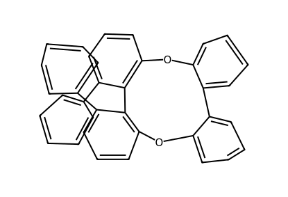 c1ccc(-c2cccc3c2-c2c(cccc2-c2ccccc2)Oc2ccccc2-c2ccccc2O3)cc1